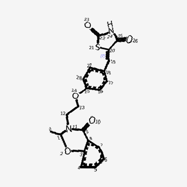 CC1Oc2ccccc2C(=O)N1CCOc1ccc(/C=C2\SC(=O)NC2=O)cc1